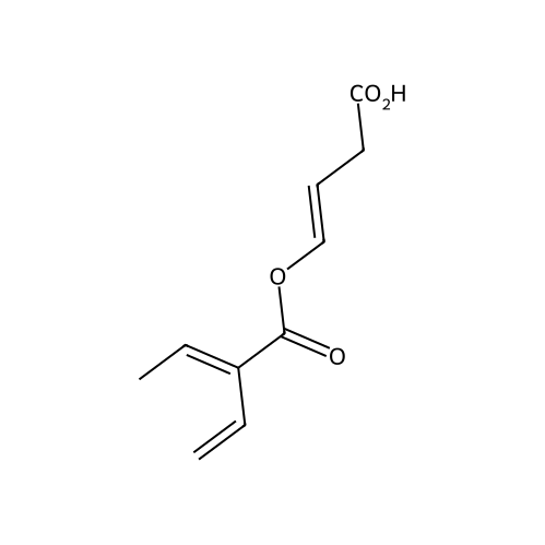 C=CC(=CC)C(=O)OC=CCC(=O)O